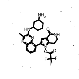 Cc1nc2cccc(-c3cc4c(n3OC(=O)C(F)(F)F)CCNC4=O)c2nc1NC1CCCC(N)C1